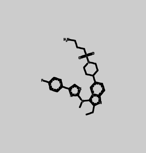 CCc1nc2ccc(C3CCN(S(=O)(=O)CCCN)CC3)cn2c1N(C)c1nc(-c2ccc(F)cc2)cs1